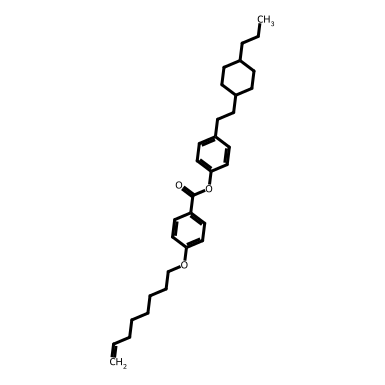 C=CCCCCCCOc1ccc(C(=O)Oc2ccc(CCC3CCC(CCC)CC3)cc2)cc1